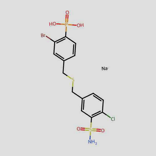 NS(=O)(=O)c1cc(CSCc2ccc(P(=O)(O)O)c(Br)c2)ccc1Cl.[Na]